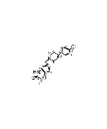 C[C@H]1Oc2ccc(CN3CC=C(c4ccc(Cl)cc4)CC3)cc2NC1=O